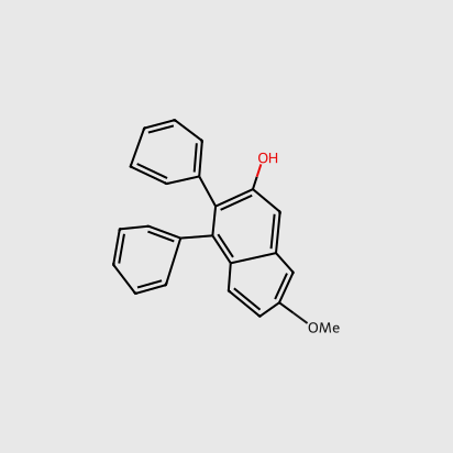 COc1ccc2c(-c3ccccc3)c(-c3ccccc3)c(O)cc2c1